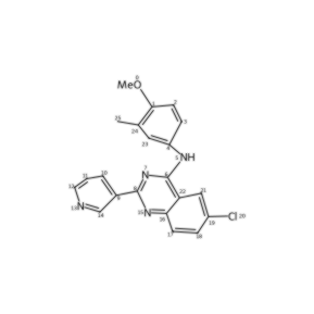 COc1ccc(Nc2nc(-c3cccnc3)nc3ccc(Cl)cc23)cc1C